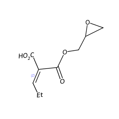 CC/C=C(/C(=O)O)C(=O)OCC1CO1